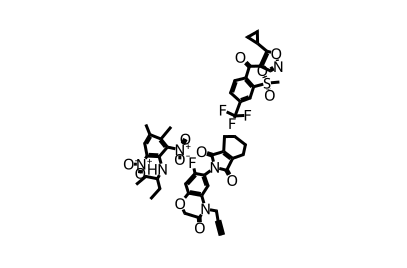 C#CCN1C(=O)COc2cc(F)c(N3C(=O)C4=C(CCCC4)C3=O)cc21.CCC(CC)Nc1c([N+](=O)[O-])cc(C)c(C)c1[N+](=O)[O-].CS(=O)(=O)c1cc(C(F)(F)F)ccc1C(=O)c1cnoc1C1CC1